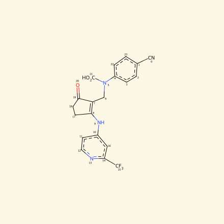 N#Cc1ccc(N(CC2=C(Nc3ccnc(C(F)(F)F)c3)CCC2=O)C(=O)O)cc1